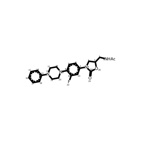 CC(=O)NCC1CN(c2ccc(N3CCN(c4ccccc4)CC3)c(F)c2)C(=O)O1